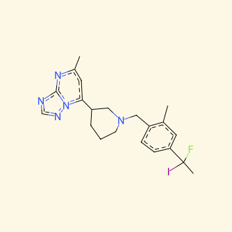 Cc1cc(C2CCCN(Cc3ccc(C(C)(F)I)cc3C)C2)n2ncnc2n1